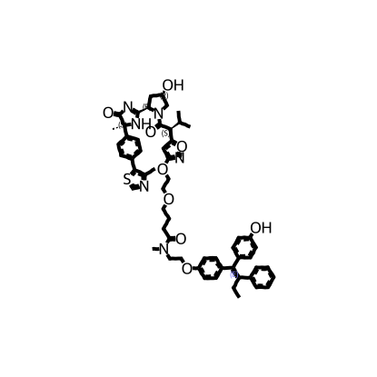 CC/C(=C(/c1ccc(O)cc1)c1ccc(OCCN(C)C(=O)CCCOCCOc2cc([C@@H](C(=O)N3C[C@H](O)C[C@@H]3C3=NC(=O)[C@](C)(c4ccc(-c5scnc5C)cc4)N3)C(C)C)on2)cc1)c1ccccc1